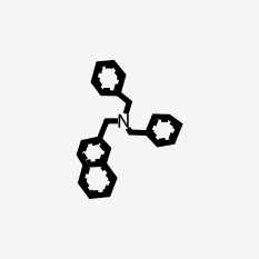 c1ccc(CN(Cc2ccccc2)Cc2ccc3ccccc3c2)cc1